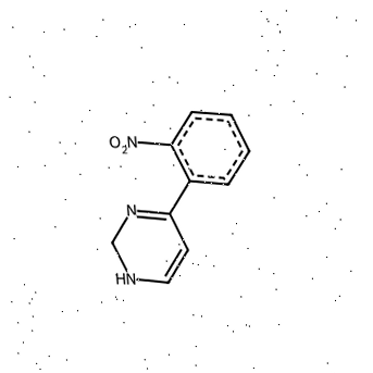 O=[N+]([O-])c1ccccc1C1=NCNC=C1